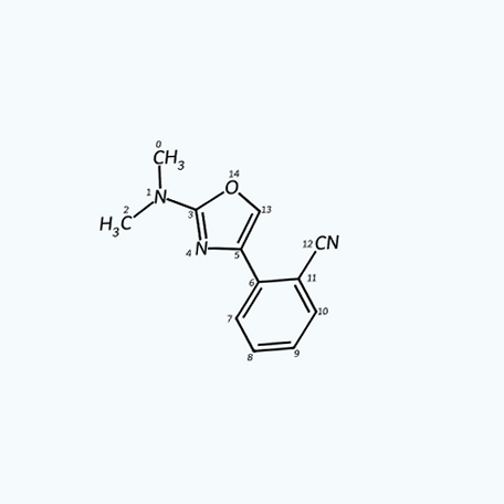 CN(C)c1nc(-c2ccccc2C#N)co1